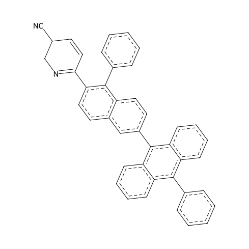 N#CC1C=CC(c2ccc3cc(-c4c5ccccc5c(-c5ccccc5)c5ccccc45)ccc3c2-c2ccccc2)=NC1